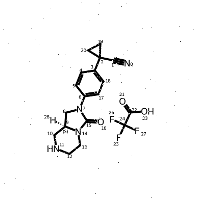 N#CC1(c2ccc(N3C[C@@H]4CNCCN4C3=O)cc2)CC1.O=C(O)C(F)(F)F